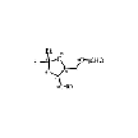 CCC1(CC)OC(C=O)C(COC=O)O1